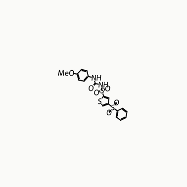 COc1ccc(NC(=O)NS(=O)(=O)c2cc(S(=O)(=O)c3ccccc3)cs2)cc1